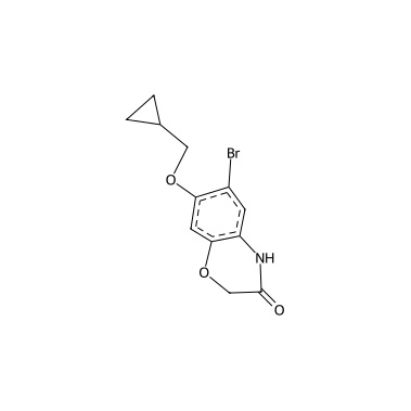 O=C1COc2cc(OCC3CC3)c(Br)cc2N1